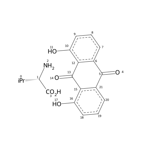 CC(C)[C@H](N)C(=O)O.O=C1c2cccc(O)c2C(=O)c2c(O)cccc21